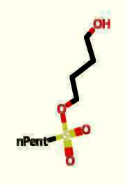 CCCCCS(=O)(=O)OCCCCO